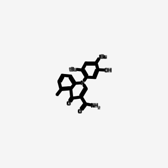 Cc1cccc2c1c(=O)c(C(N)=O)cn2-c1cc(O)c(C(C)(C)C)cc1C(C)(C)C